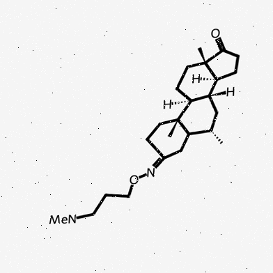 CNCCCON=C1CC[C@@]2(C)C(C1)[C@@H](C)C[C@@H]1[C@@H]2CC[C@]2(C)C(=O)CC[C@@H]12